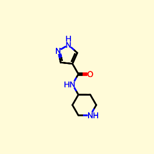 O=C(NC1CCNCC1)c1cn[nH]c1